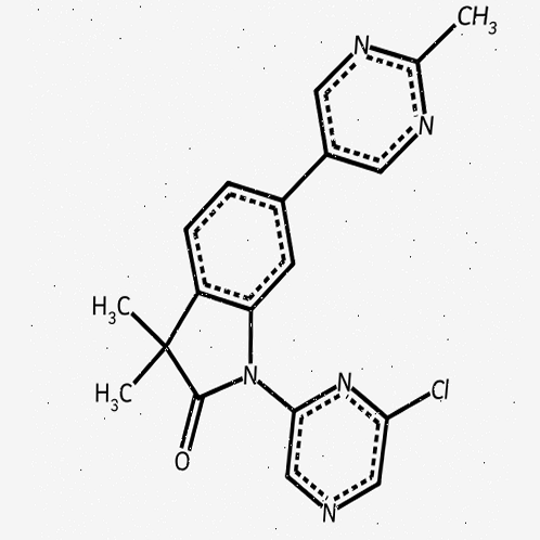 Cc1ncc(-c2ccc3c(c2)N(c2cncc(Cl)n2)C(=O)C3(C)C)cn1